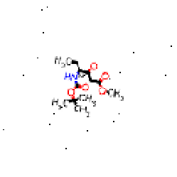 CC[C@H](NC(=O)OC(C)(C)C)C(=O)CC(=O)OC